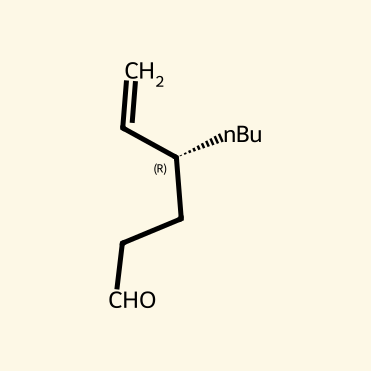 C=C[C@@H](CCC=O)CCCC